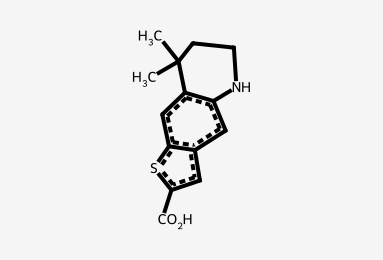 CC1(C)CCNc2cc3cc(C(=O)O)sc3cc21